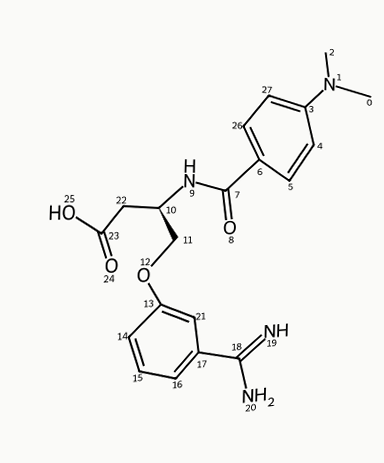 CN(C)c1ccc(C(=O)N[C@@H](COc2cccc(C(=N)N)c2)CC(=O)O)cc1